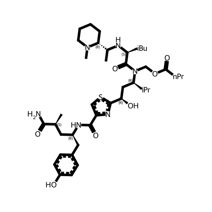 CCCC(=O)OCN(C(=O)[C@@H](NC(C)[C@H]1CCCCN1C)C(C)CC)[C@H](C[C@@H](O)c1nc(C(=O)N[C@@H](Cc2ccc(O)cc2)C[C@H](C)C(N)=O)cs1)C(C)C